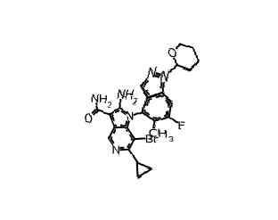 Cc1c(F)cc2c(cnn2C2CCCCO2)c1-n1c(N)c(C(N)=O)c2cnc(C3CC3)c(Br)c21